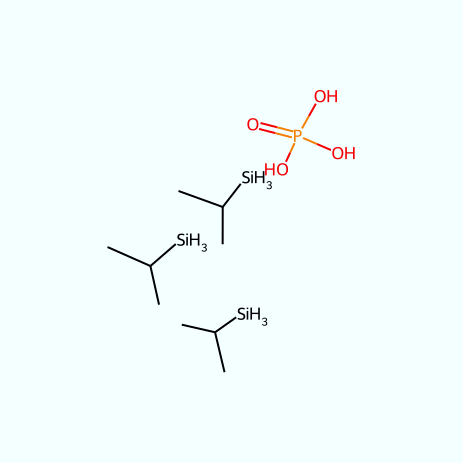 CC(C)[SiH3].CC(C)[SiH3].CC(C)[SiH3].O=P(O)(O)O